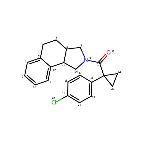 O=C(N1CC2CCc3ccccc3C2C1)C1(c2ccc(Cl)cc2)CC1